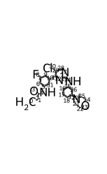 C=CC(=O)Nc1cc(F)cc(-c2nc(Nc3cccc(N4CCOCC4)c3)ncc2Cl)c1